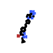 Nc1ncnc2c1CCN2[C@@H]1CC[C@@H](/C=C/c2ccc3cc(Br)c(NCC4CC4)nc3c2)C1